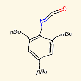 CCCCc1cc(CCCC)c(N=C=O)c(CCCC)c1